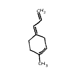 C=CC=C1CC=C(C)CC1